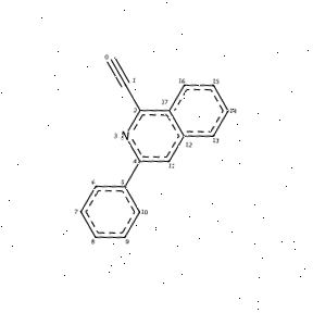 C#Cc1nc(-c2ccccc2)cc2ccccc12